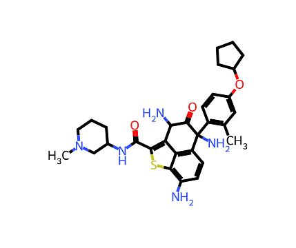 Cc1cc(OC2CCCC2)ccc1C1(N)C(=O)C(N)c2c(C(=O)NC3CCCN(C)C3)sc3c(N)ccc1c23